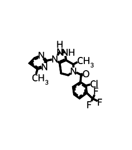 Cc1ccnc(N2NNC3=C2CCN(C(=O)c2cccc(C(F)(F)F)c2Cl)C3C)n1